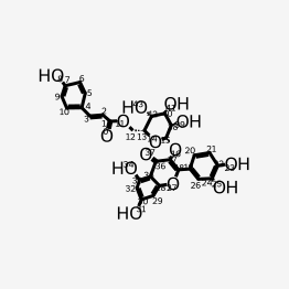 O=C(/C=C/c1ccc(O)cc1)OC[C@H]1O[C@@H](Oc2c(-c3ccc(O)c(O)c3)oc3cc(O)cc(O)c3c2=O)[C@H](O)[C@@H](O)[C@H]1O